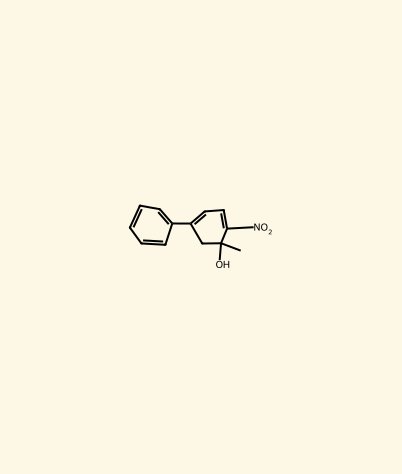 CC1(O)CC(c2ccccc2)=CC=C1[N+](=O)[O-]